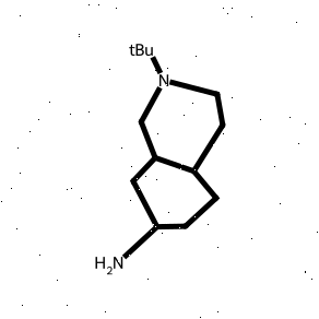 CC(C)(C)N1CCC2CCC(N)CC2C1